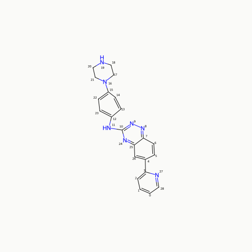 c1ccc(-c2ccc3nnc(Nc4ccc(N5CCNCC5)cc4)nc3c2)nc1